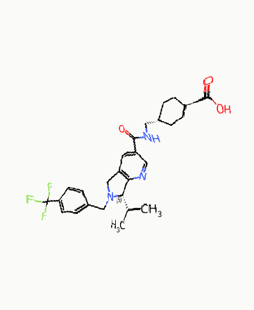 CC(C)[C@H]1c2ncc(C(=O)NC[C@H]3CC[C@H](C(=O)O)CC3)cc2CN1Cc1ccc(C(F)(F)F)cc1